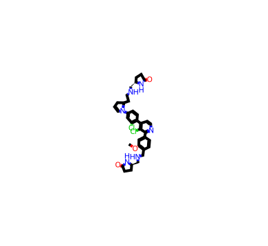 COc1cc(-c2nccc(-c3ccc(N4C=CCC4CCNC[C@@H]4CCC(=O)N4)cc3Cl)c2Cl)ccc1CNC[C@H]1CCC(=O)N1